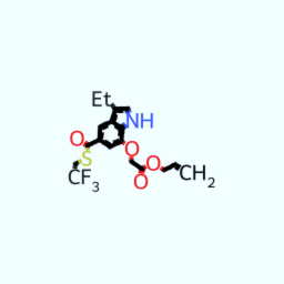 C=CCOC(=O)COc1cc(C(=O)SCC(F)(F)F)cc2c(CC)c[nH]c12